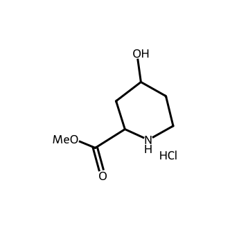 COC(=O)C1CC(O)CCN1.Cl